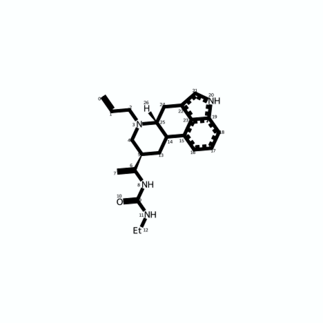 C=CCN1C[C@H](C(=C)NC(=O)NCC)CC2c3cccc4[nH]cc(c34)C[C@H]21